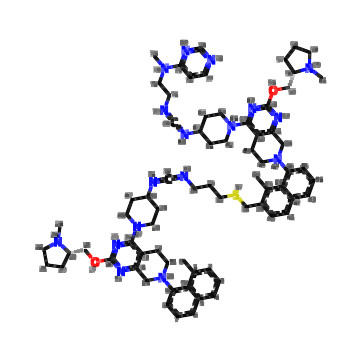 Cc1cccc2cccc(N3CCc4c(nc(OC[C@@H]5CCCN5C)nc4N4CCC(N=C=NCCCSCc5ccc6cccc(N7CCc8c(nc(OC[C@@H]9CCCN9C)nc8N8CCC(N=C=NCCN(C)c9ccncn9)CC8)C7)c6c5C)CC4)C3)c12